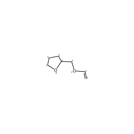 [CH]=COCC1CCCO1